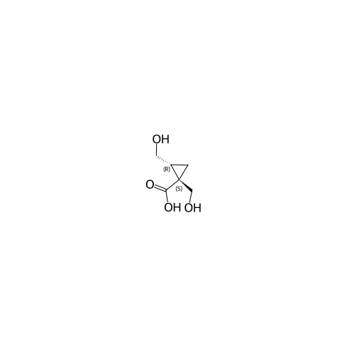 O=C(O)[C@@]1(CO)C[C@H]1CO